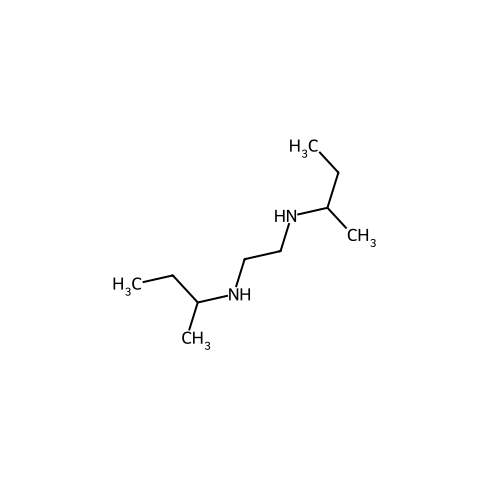 CCC(C)NCCNC(C)CC